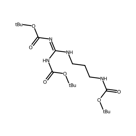 CC(C)(C)OC(=O)N=C(NCCCNC(=O)OC(C)(C)C)NC(=O)OC(C)(C)C